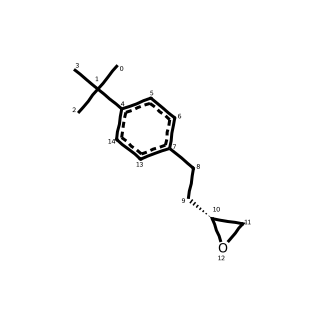 CC(C)(C)c1ccc(CC[C@@H]2CO2)cc1